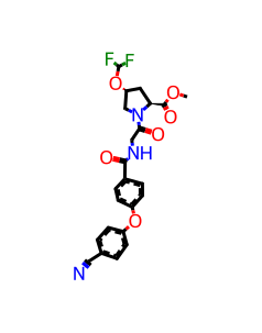 COC(=O)[C@@H]1C[C@@H](OC(F)F)CN1C(=O)CNC(=O)c1ccc(Oc2ccc(C#N)cc2)cc1